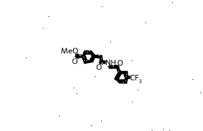 COC(=O)c1ccc(CC(=O)NCC(=O)c2cccc(C(F)(F)F)c2)cc1